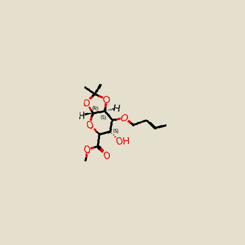 CCCCOC1[C@H](O)C(C(=O)OC)O[C@@H]2OC(C)(C)O[C@@H]12